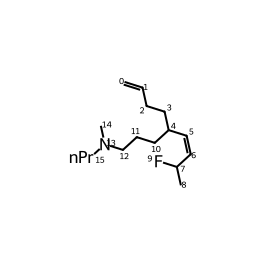 C=CCCC(/C=C\C(C)F)CCCN(C)CCC